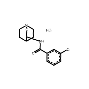 Cl.O=C(NC1CN2CCC1CC2)c1cccc(Cl)c1